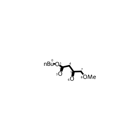 CCCCOC(=O)CC(=O)COC